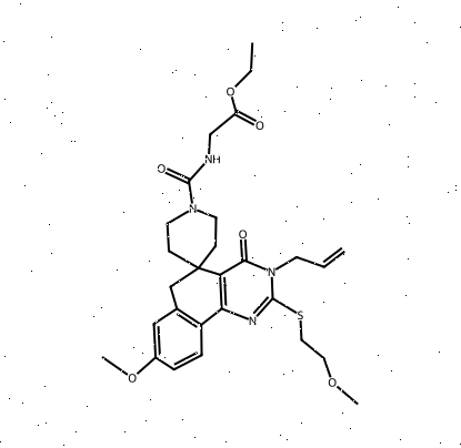 C=CCn1c(SCCOC)nc2c(c1=O)C1(CCN(C(=O)NCC(=O)OCC)CC1)Cc1cc(OC)ccc1-2